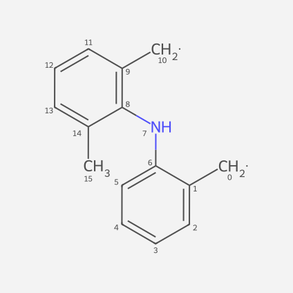 [CH2]c1ccccc1Nc1c([CH2])cccc1C